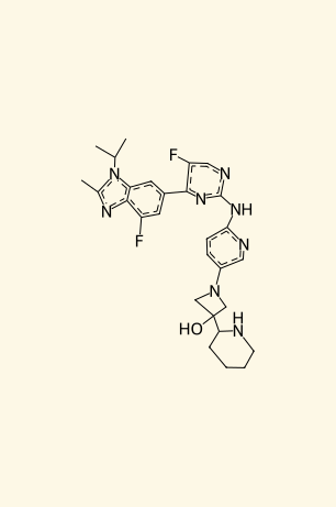 Cc1nc2c(F)cc(-c3nc(Nc4ccc(N5CC(O)(C6CCCCN6)C5)cn4)ncc3F)cc2n1C(C)C